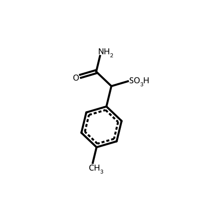 Cc1ccc(C(C(N)=O)S(=O)(=O)O)cc1